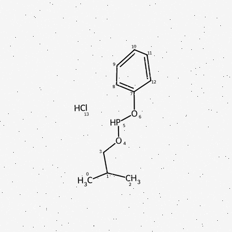 CC(C)COPOc1ccccc1.Cl